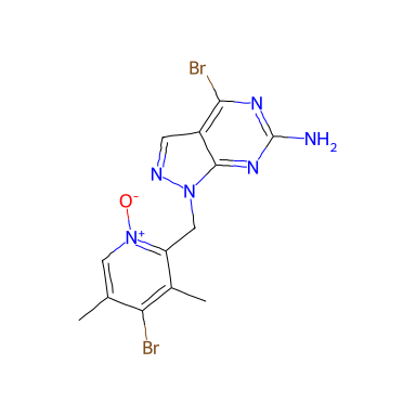 Cc1c[n+]([O-])c(Cn2ncc3c(Br)nc(N)nc32)c(C)c1Br